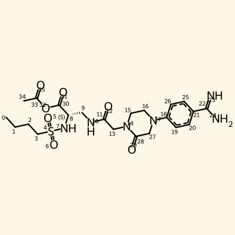 CCCCS(=O)(=O)N[C@@H](CNC(=O)CN1CCN(c2ccc(C(=N)N)cc2)CC1=O)C(=O)OC(C)=O